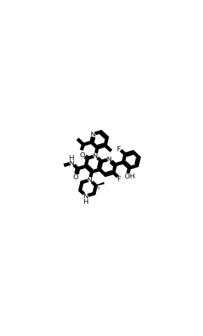 CNC(=O)c1c(N2CCNC[C@@H]2C)c2cc(F)c(-c3c(O)cccc3F)nc2n(-c2c(C)ccnc2C(C)C)c1=O